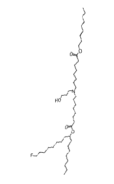 CCCCCCCCCOC(=O)CCCCCCCN(CCCO)CCCCCCCC(=O)OC(CCCCCCCC)CCCCCCCCF